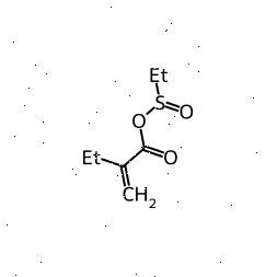 C=C(CC)C(=O)OS(=O)CC